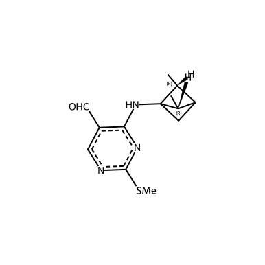 CSc1ncc(C=O)c(NC23CC([C@H]2C)[C@H]3C)n1